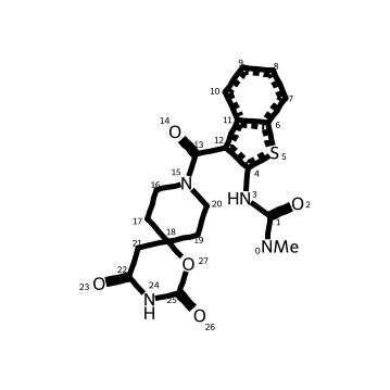 CNC(=O)Nc1sc2ccccc2c1C(=O)N1CCC2(CC1)CC(=O)NC(=O)O2